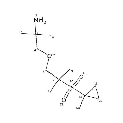 CC(C)(N)COCC(C)(C)S(=O)(=O)C1(C)CC1